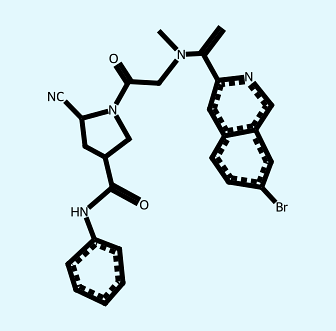 C=C(c1cc2ccc(Br)cc2cn1)N(C)CC(=O)N1CC(C(=O)Nc2ccccc2)CC1C#N